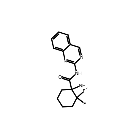 NC1(C(=O)Nc2ncc3ccccc3n2)CCCCC1(F)F